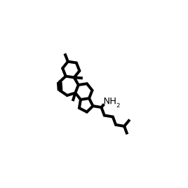 CC(C)CCCC(N)C1CCC2C1CCC1C3(C)CCC(C)CC3C#CCC21C